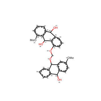 COc1ccc2c(c1)C(OCOc1cccc3c1C(O)c1c(OC)cccc1C3O)c1ccccc1C2O